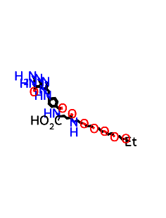 CCOCCOCCOCCOCCOCCNC(=O)CC[C@H](NC(=O)c1ccc(NCc2cnc3nc(N)[nH]c(=O)c3n2)cc1)C(=O)O